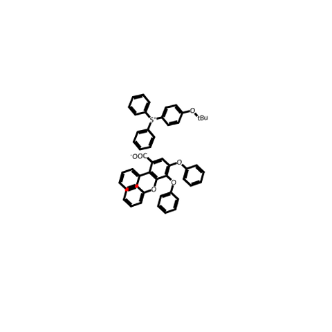 CC(C)(C)Oc1ccc([S+](c2ccccc2)c2ccccc2)cc1.O=C([O-])c1cc(Oc2ccccc2)c(Oc2ccccc2)c(Oc2ccccc2)c1-c1ccccc1